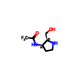 O=C(N[C@@H]1CCN[C@H]1CO)C(F)(F)F